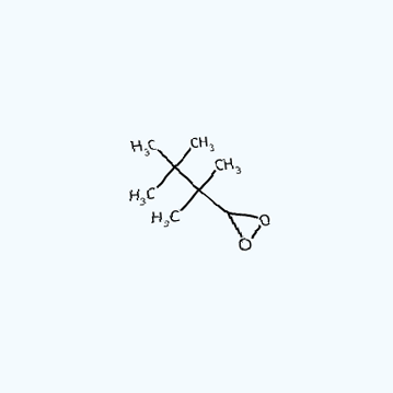 CC(C)(C)C(C)(C)C1OO1